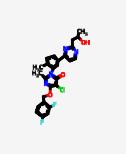 Cc1ccc(-c2ccnc(CC(C)O)n2)cc1-n1c(C)nc(OCc2ccc(F)cc2F)c(Cl)c1=O